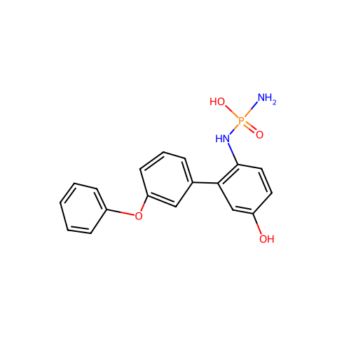 NP(=O)(O)Nc1ccc(O)cc1-c1cccc(Oc2ccccc2)c1